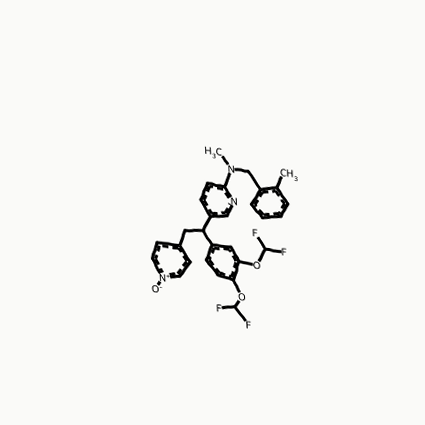 Cc1ccccc1CN(C)c1ccc(C(Cc2cc[n+]([O-])cc2)c2ccc(OC(F)F)c(OC(F)F)c2)cn1